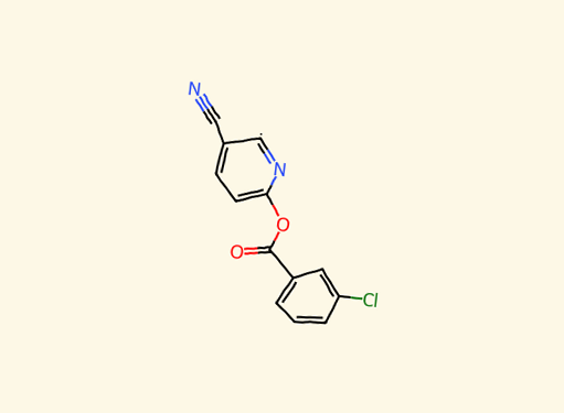 N#Cc1[c]nc(OC(=O)c2cccc(Cl)c2)cc1